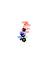 CC(Nc1cc(Cl)nc2c1cnn2[C@@H]1O[C@H](COCP(=O)(O)O)[C@@H](O)[C@H]1O)c1ccccc1